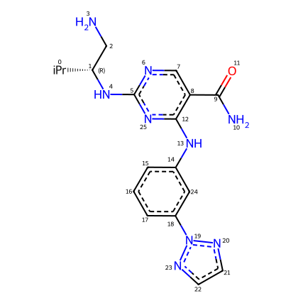 CC(C)[C@H](CN)Nc1ncc(C(N)=O)c(Nc2cccc(-n3nccn3)c2)n1